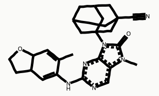 CC1=CC2OCCC2C=C1Nc1ncc2c(n1)n(C13CC4CC(CC(C#N)(C4)C1)C3)c(=O)n2C